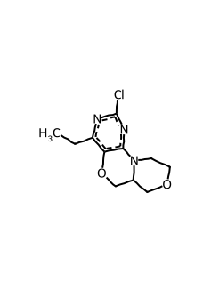 CCc1nc(Cl)nc2c1OCC1COCCN21